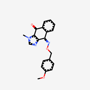 COc1ccc(CON=C2c3ccccc3C(=O)c3c2ncn3C)cc1